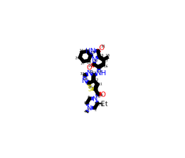 CC[C@H]1CN(C)CCN1C(=O)c1cc2c(Nc3cc(C)c4n(c3=O)C3(CCCCC3)NC4=O)ncnc2s1